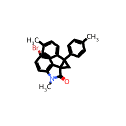 Cc1ccc(C2(c3ccc(C)cc3)CC23C(=O)N(C)c2ccc(Br)cc23)cc1